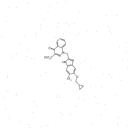 CCOC(=O)c1nn(Cc2nc3cc(OCC4CC4)c(C(F)(F)F)cc3[nH]2)c2ccccc2c1=O